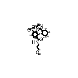 COCCCNC(=O)c1ccc([N+](=O)[O-])c(-n2ccnc2C2CCCCC2)c1